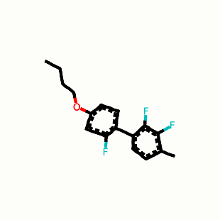 CCCCOc1ccc(-c2ccc(C)c(F)c2F)c(F)c1